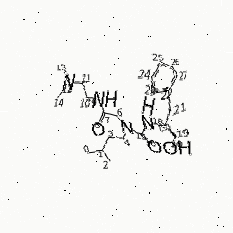 CC(C)CCN(CC(=O)NCCN(C)C)C(=O)N[C@H](CO)Cc1ccccc1